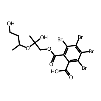 CC(CCO)OC(C)(O)COC(=O)c1c(Br)c(Br)c(Br)c(Br)c1C(=O)O